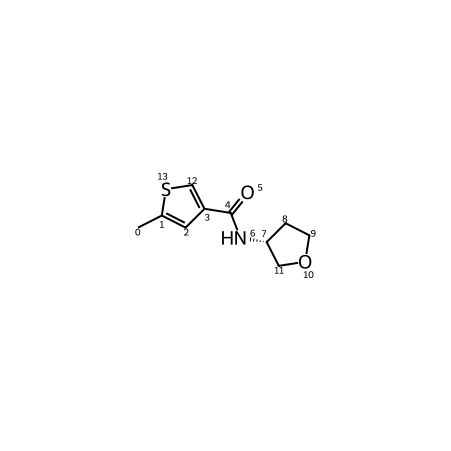 Cc1cc(C(=O)N[C@@H]2CCOC2)cs1